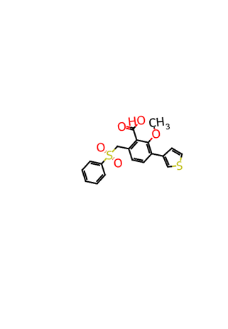 COc1c(-c2ccsc2)ccc(CS(=O)(=O)c2ccccc2)c1C(=O)O